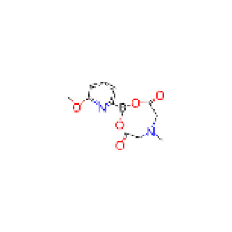 COc1cccc(B2OC(=O)CN(C)CC(=O)O2)n1